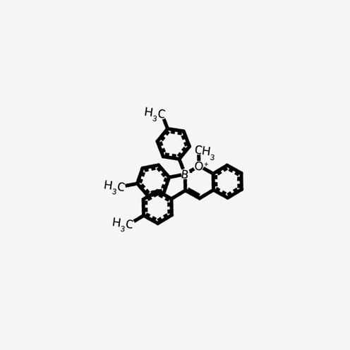 Cc1ccc(C2=Cc3ccccc3[O+](C)[B-]2(c2ccc(C)cc2)c2ccc(C)cc2)cc1